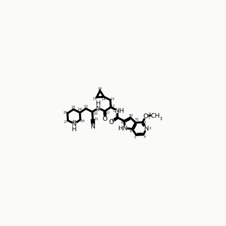 COc1nccc2[nH]c(C(=O)NC(CC3CC3)C(=O)NC(C#N)CC3CCCNC3)cc12